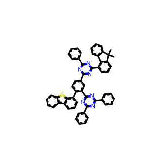 CC1(C)c2ccccc2-c2c(-c3nc(-c4ccccc4)nc(-c4ccc(-c5cccc6c5sc5ccccc56)c(-c5nc(-c6ccccc6)nc(-c6ccccc6)n5)c4)n3)cccc21